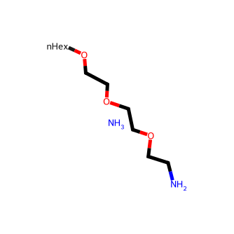 CCCCCCOCCOCCOCCN.N